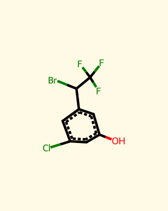 Oc1cc(Cl)cc(C(Br)C(F)(F)F)c1